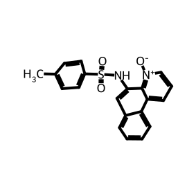 Cc1ccc(S(=O)(=O)Nc2cc3ccccc3c3ccc[n+]([O-])c23)cc1